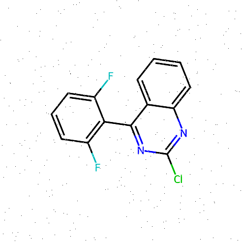 Fc1cccc(F)c1-c1nc(Cl)nc2ccccc12